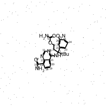 CC(C)(C)C(CCOC(N)=O)(Nc1ncnc2c(C(N)=O)cccc12)c1cccc([N+](=O)[O-])c1